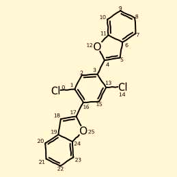 Clc1cc(-c2cc3ccccc3o2)c(Cl)cc1-c1cc2ccccc2o1